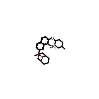 CC1CCC(Oc2ccc3ccc(C(C)N4C5CCCC4CCC5)cc3c2C(F)(F)F)CC1